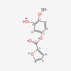 CCOc1ccc(OC(=O)c2ccco2)cc1O